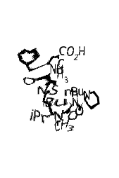 CCCCN1CCCC[C@@H]1C(=O)N[C@H](C(=O)N(C)[C@H](CCc1nc(C(=O)N[C@@H](Cc2ccccc2)C[C@H](C)C(=O)O)cs1)C(C)C)[C@@H](C)CC